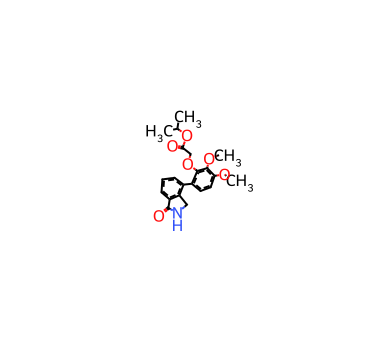 COc1ccc(-c2cccc3c2CNC3=O)c(OCC(=O)OC(C)C)c1OC